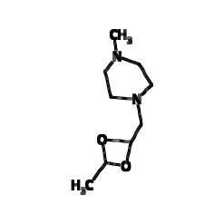 CC1OC(CN2CCN(C)CC2)O1